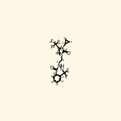 O=C(NCCn1nc(C(F)(F)F)n(C2CC2)c1=O)c1ccccc1C(F)(F)F